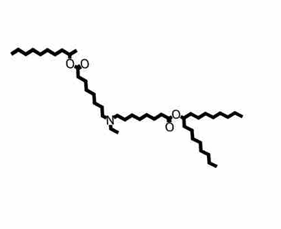 CCCCCCCCC(C)OC(=O)CCCCCCCN(CC)CCCCCCCC(=O)OC(CCCCCCCC)CCCCCCCC